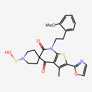 COc1ccccc1CCN1C(=O)C2(CCN(SO)CC2)C(=O)c2c1sc(-c1ncco1)c2C